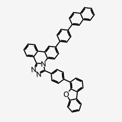 c1ccc2cc(-c3ccc(-c4ccc5c(c4)c4ccccc4c4nnc(-c6ccc(-c7cccc8c7oc7ccccc78)cc6)n54)cc3)ccc2c1